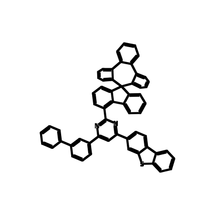 c1ccc(-c2cccc(-c3cc(-c4ccc5c(c4)sc4ccccc45)nc(-c4cccc5c4-c4ccccc4C54c5ccccc5-c5ccccc5-c5ccccc54)n3)c2)cc1